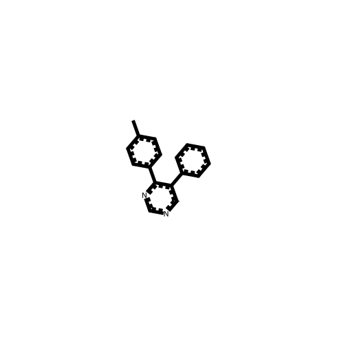 Cc1ccc(-c2ncn[c]c2-c2ccccc2)cc1